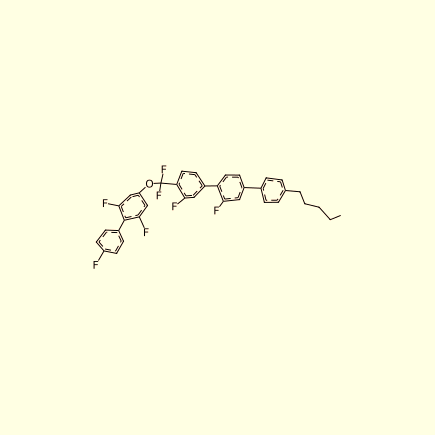 CCCCCc1ccc(-c2ccc(-c3ccc(C(F)(F)Oc4cc(F)c(-c5ccc(F)cc5)c(F)c4)c(F)c3)c(F)c2)cc1